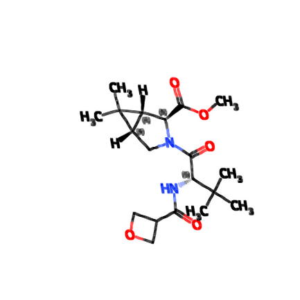 COC(=O)[C@@H]1[C@@H]2[C@H](CN1C(=O)[C@@H](NC(=O)C1COC1)C(C)(C)C)C2(C)C